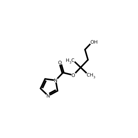 CC(C)(CCO)OC(=O)n1ccnc1